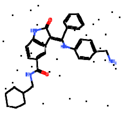 NCc1ccc(NC(=C2C(=O)Nc3ccc(C(=O)NCC4CCCCC4)cc32)c2ccccc2)cc1